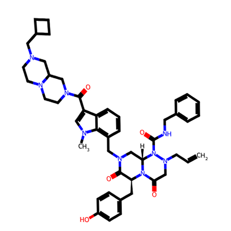 C=CCN1CC(=O)N2[C@@H](Cc3ccc(O)cc3)C(=O)N(Cc3cccc4c(C(=O)N5CCN6CCN(CC7CCC7)CC6C5)cn(C)c34)C[C@@H]2N1C(=O)NCc1ccccc1